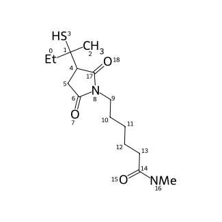 CCC(C)(S)C1CC(=O)N(CCCCCC(=O)NC)C1=O